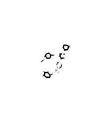 Cc1cc(CN[S+]([O-])N2CCN(c3cnn(-c4cc(F)cc(F)c4)c(=O)c3OCc3ccc4c(c3)SC(C)N4)CC2)ccc1N